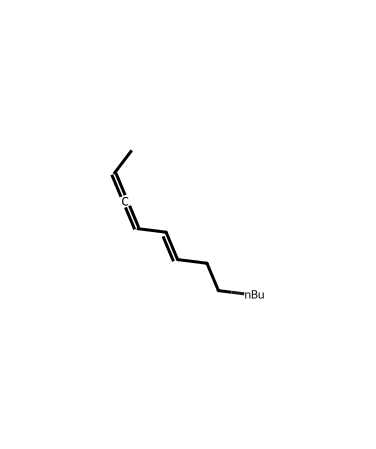 CC=C=CC=CCCCCCC